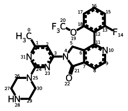 Cc1cc(N2Cc3c(ccnc3-c3c(F)cccc3OC(F)(F)F)C2=O)nc(N2CCNCC2)n1